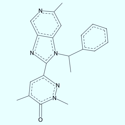 Cc1cc2c(cn1)nc(-c1cc(C)c(=O)n(C)n1)n2C(C)c1ccccc1